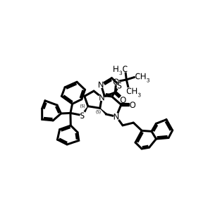 CC(C)(C)OC(=O)N1CC[C@H](SC(c2ccccc2)(c2ccccc2)c2ccccc2)[C@@H]1CN(CCc1cccc2ccccc12)C(=O)c1cncs1